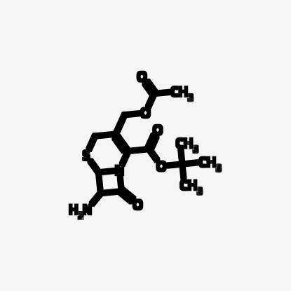 CC(=O)OCC1=C(C(=O)OC(C)(C)C)N2C(=O)C(N)C2SC1